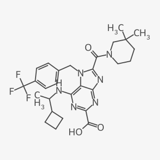 CC(Nc1nc(C(=O)O)nc2nc(C(=O)N3CCCC(C)(C)C3)n(Cc3ccc(C(F)(F)F)cc3)c12)C1CCC1